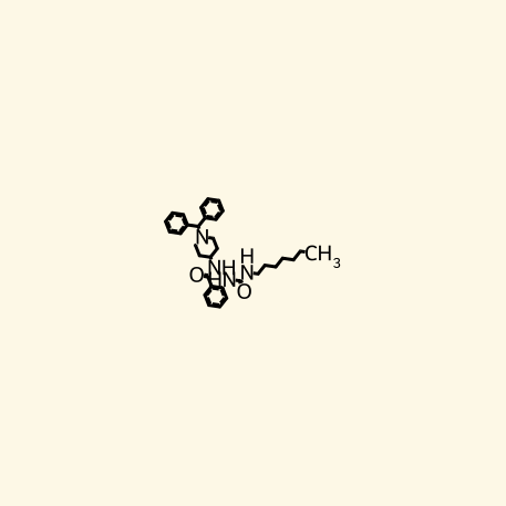 CCCCCCCNC(=O)Nc1ccccc1C(=O)NC1CCN(C(c2ccccc2)c2ccccc2)CC1